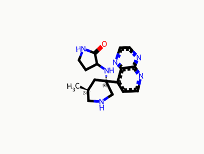 C[C@@H]1CNC[C@](NC2CCNC2=O)(c2ccnc3nccnc23)C1